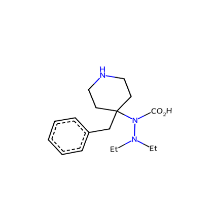 CCN(CC)N(C(=O)O)C1(Cc2ccccc2)CCNCC1